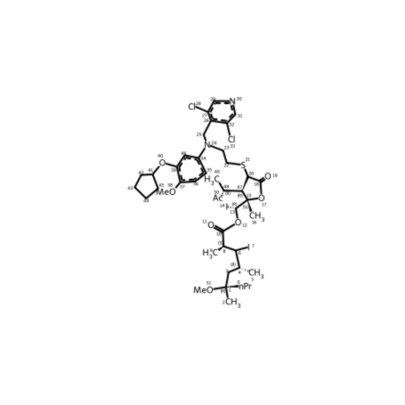 CCC[C@](C)(C[C@@H](C)C(I)[C@@H](C)C(=O)O[C@H](I)[C@@]1(C)OC(=O)C(SCCN(Cc2c(Cl)cncc2Cl)c2ccc(OC)c(OC3CCCC3)c2)[C@@H]1[C@@H](C)C(C)=O)OC